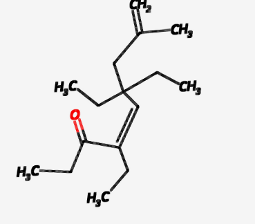 C=C(C)CC(C=C(CC)C(=O)CC)(CC)CC